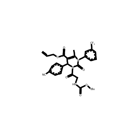 C=CCOC(=O)C1=C(C)N(c2cccc(C(F)(F)F)c2)C(=O)N(C(=O)CNC(=O)OC(C)(C)C)C1c1ccc(C#N)cc1